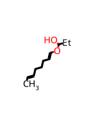 CC=CCCCC=COC(O)CC